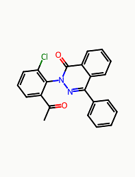 CC(=O)c1cccc(Cl)c1-n1nc(-c2ccccc2)c2ccccc2c1=O